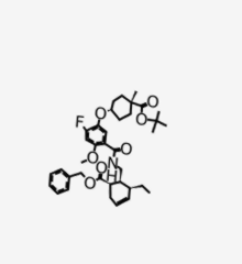 CC[C@H]1C=CC[C@@H](C(=O)OCc2ccccc2)[C@H]1CNC(=O)c1cc(O[C@H]2CC[C@@](C)(C(=O)OC(C)(C)C)CC2)c(F)cc1OC